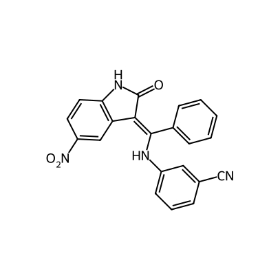 N#Cc1cccc(NC(=C2C(=O)Nc3ccc([N+](=O)[O-])cc32)c2ccccc2)c1